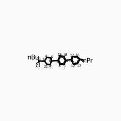 CCCCC(=O)C1CCC(c2ccc(-c3ccc(CCC)cc3)cc2)CC1